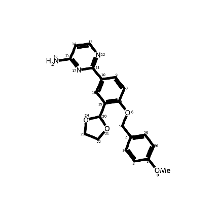 COc1ccc(COc2ccc(-c3nccc(N)n3)cc2C2OCCO2)cc1